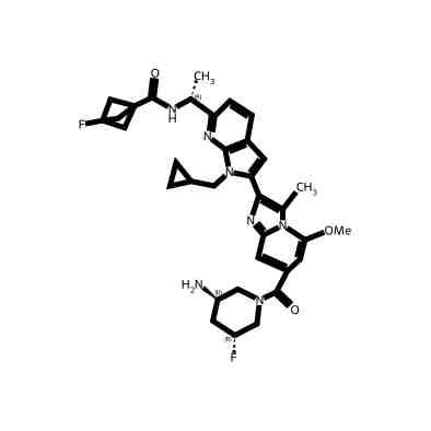 COc1cc(C(=O)N2C[C@H](N)C[C@@H](F)C2)cc2nc(-c3cc4ccc([C@@H](C)NC(=O)C56CC(F)(C5)C6)nc4n3CC3CC3)c(C)n12